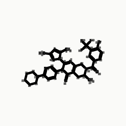 Cc1cc(C)n(-c2nc3c(c(=O)n2-c2ccc(N4CCCCC4)nc2)CC(C)N(C(=O)c2ccc(Br)c(C(F)(F)F)c2)C3)n1